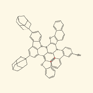 CC(C)(C)c1ccc(N2c3cc4c(oc5ccccc54)c4c3B(c3oc5c(ccc6ccccc65)c32)n2c3ccc(C56CC7CC(CC(C7)C5)C6)cc3c3cc(C56CC7CC(CC(C7)C5)C6)cc-4c32)c(-c2ccccc2)c1